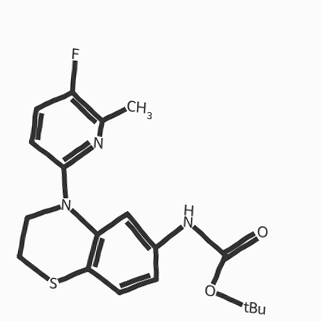 Cc1nc(N2CCSc3ccc(NC(=O)OC(C)(C)C)cc32)ccc1F